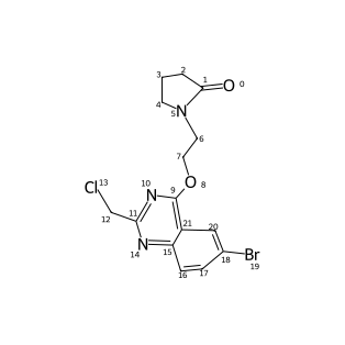 O=C1CCCN1CCOc1nc(CCl)nc2ccc(Br)cc12